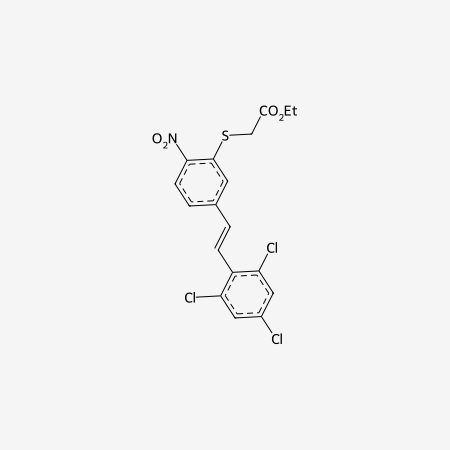 CCOC(=O)CSc1cc(C=Cc2c(Cl)cc(Cl)cc2Cl)ccc1[N+](=O)[O-]